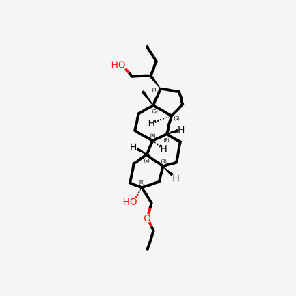 CCOC[C@@]1(O)CC[C@H]2[C@H](CC[C@@H]3[C@@H]2CC[C@]2(C)[C@@H](C(CC)CO)CC[C@@H]32)C1